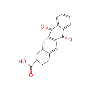 O=C1c2ccccc2C(=O)c2cc3c(cc21)CCC(C(=O)O)C3